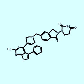 Cc1nc(C2=CCN(Cc3ccc4c(c3)CN(N3CCC(=O)NC3=O)C4=O)CC2)c2c(-c3ccccc3)csc2n1